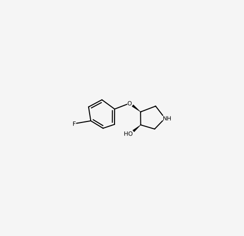 O[C@@H]1CNC[C@@H]1Oc1ccc(F)cc1